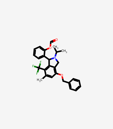 Cc1cc(OCc2ccccc2)c2c(c1C(F)(F)F)C(c1ccccc1OC=O)N(C(C)C)C2